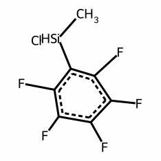 C[SiH](Cl)c1c(F)c(F)c(F)c(F)c1F